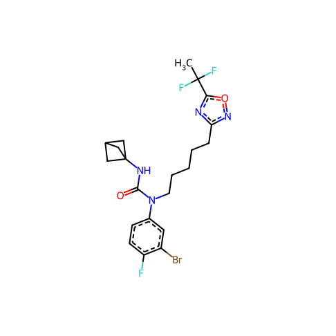 CC(F)(F)c1nc(CCCCCN(C(=O)NC23CC(C2)C3)c2ccc(F)c(Br)c2)no1